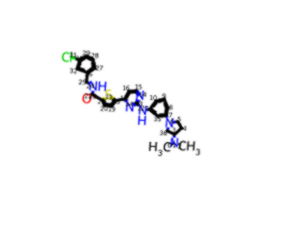 CN(C)C1CCN(c2cccc(Nc3nccc(-c4ccc(C(=O)NCc5cccc(Cl)c5)s4)n3)c2)C1